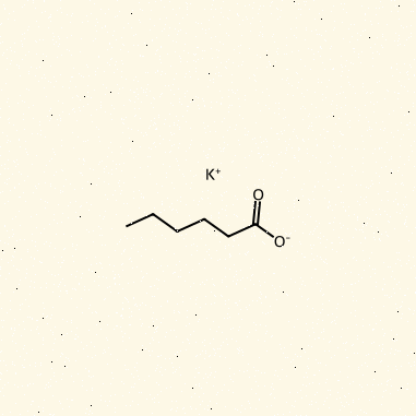 CCCCCC(=O)[O-].[K+]